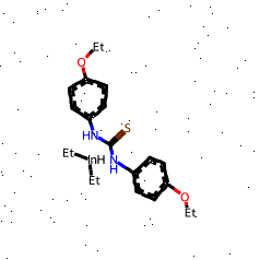 CCOc1ccc(NC(=S)Nc2ccc(OCC)cc2)cc1.C[CH2][InH][CH2]C